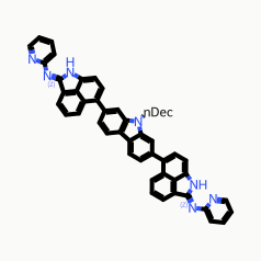 CCCCCCCCCCn1c2cc(-c3ccc4c5c(cccc35)/C(=N/c3ccccn3)N4)ccc2c2ccc(-c3ccc4c5c(cccc35)/C(=N/c3ccccn3)N4)cc21